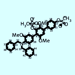 COc1cc(-c2c(OC)cc(-c3ccc(OS(C)(=O)=O)cc3)c(OC)c2OS(C)(=O)=O)ccc1N(Cc1ccccc1)Cc1ccccc1